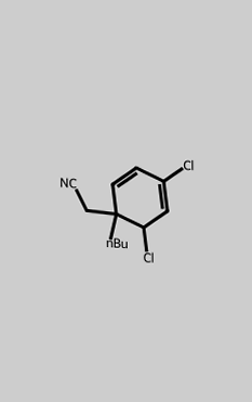 CCCCC1(CC#N)C=CC(Cl)=CC1Cl